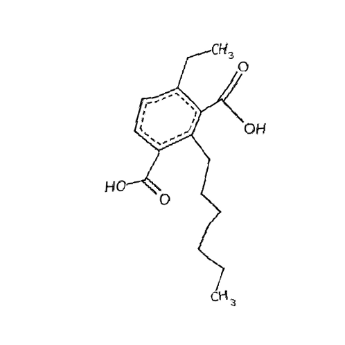 CCCCCCc1c(C(=O)O)ccc(CC)c1C(=O)O